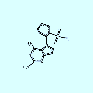 CS(=O)(=O)c1ccccc1-n1ccc2nc(N)nc(N)c21